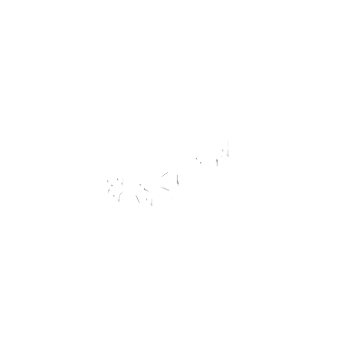 CC(C)NC(=O)CN1CC(c2ccc3c(c2)OCCn2cc(-c4ncnn4C(C)C)nc2-3)C1